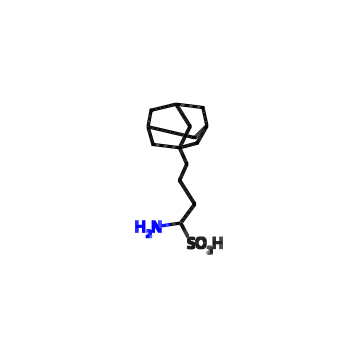 NC(CCCC12CC3CC(CC(C3)C1)C2)S(=O)(=O)O